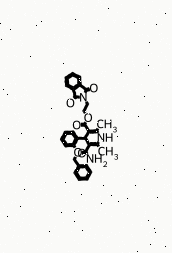 CC1=C(C(N)=O)C(c2ccccc2OCc2ccccc2)C(C(=O)OCCN2C(=O)c3ccccc3C2=O)=C(C)N1